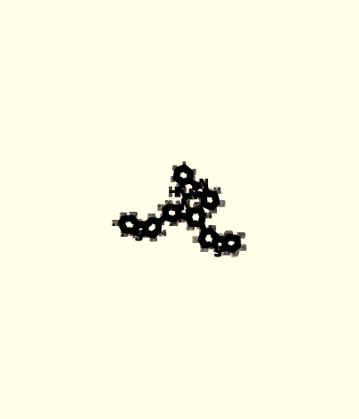 c1ccc2c(c1)NC(n1c3ccc(-c4ccc5sc6ccccc6c5c4)cc3c3cc(-c4ccc5sc6ccccc6c5c4)ccc31)n1c-2nc2ccccc21